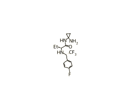 CC[C@H](N[C@@H](c1ccc(F)cc1)C(F)(F)F)C(=O)NC1(N)CC1